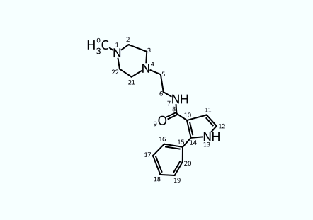 CN1CCN(CCNC(=O)c2cc[nH]c2-c2ccccc2)CC1